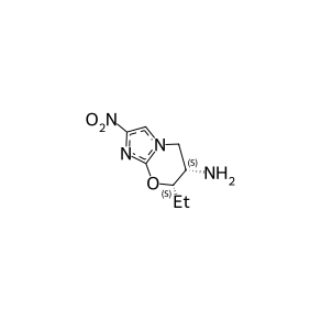 CC[C@@H]1Oc2nc([N+](=O)[O-])cn2C[C@@H]1N